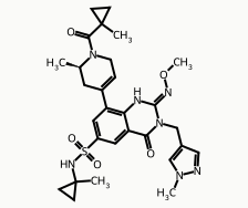 CO/N=c1\[nH]c2c(C3=CCN(C(=O)C4(C)CC4)[C@H](C)C3)cc(S(=O)(=O)NC3(C)CC3)cc2c(=O)n1Cc1cnn(C)c1